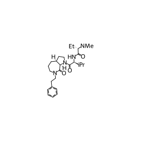 CC[C@H](NC)C(=O)N[C@H](C(=O)N1CC[C@@H]2CCCN(CCc3ccccc3)C(=O)[C@@H]21)C(C)C